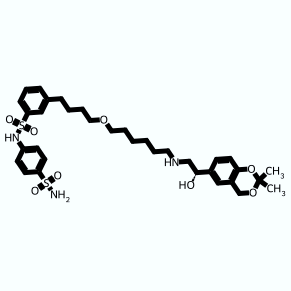 CC1(C)OCc2cc([C@H](O)CNCCCCCCOCCCCc3cccc(S(=O)(=O)Nc4ccc(S(N)(=O)=O)cc4)c3)ccc2O1